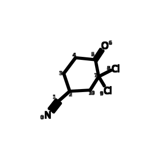 N#CC1CCC(=O)C(Cl)(Cl)C1